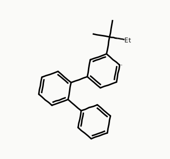 CCC(C)(C)c1[c]ccc(-c2ccccc2-c2ccccc2)c1